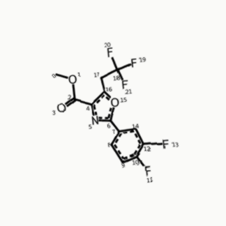 COC(=O)c1nc(-c2ccc(F)c(F)c2)oc1CC(F)(F)F